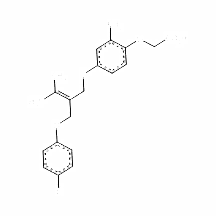 CC(C)=C(COc1ccc(Cl)cc1)CSc1ccc(OCC(=O)O)c(C)c1